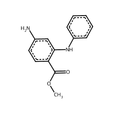 COC(=O)c1ccc(N)cc1Nc1ccccc1